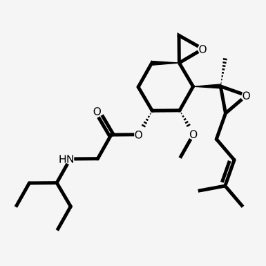 CCC(CC)NCC(=O)O[C@@H]1CC[C@]2(CO2)[C@@H]([C@@]2(C)OC2CC=C(C)C)[C@@H]1OC